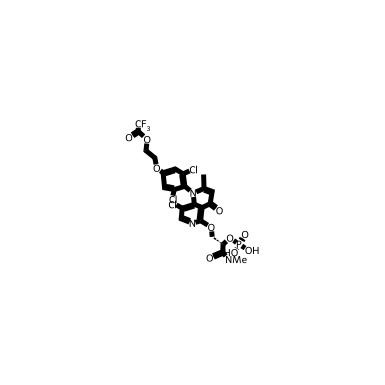 CNC(=O)[C@H](COc1ncc(Cl)c2c1c(=O)cc(C)n2-c1c(Cl)cc(OCCOC(=O)C(F)(F)F)cc1Cl)OP(=O)(O)O